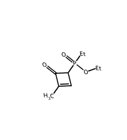 CCOP(=O)(CC)C1C=C(C)C1=O